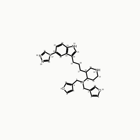 c1cc(CN(Cc2ccoc2)C2CCNCC2CCCc2c[nH]c3ccc(-n4cnnc4)cc23)co1